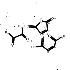 C=C(C)C(=O)O.O=C(O)/C=C\C(=O)O.O=C1C=CC(=O)O1